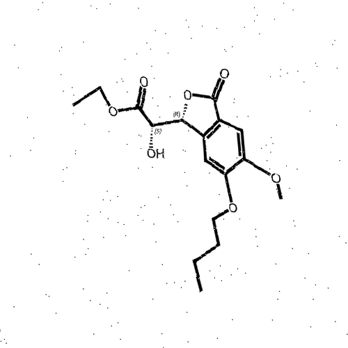 CCCCOc1cc2c(cc1OC)C(=O)O[C@H]2[C@H](O)C(=O)OCC